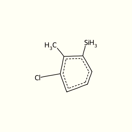 Cc1c([SiH3])cccc1Cl